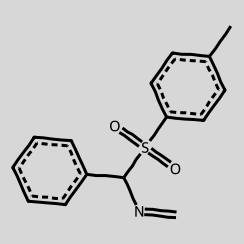 C=NC(c1ccccc1)S(=O)(=O)c1ccc(C)cc1